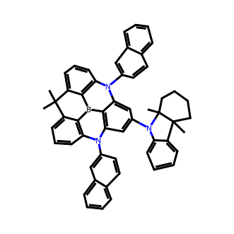 CC1(C)c2cccc3c2B2c4c(cc(N5c6ccccc6C6(C)CCCCC56C)cc4N(c4ccc5ccccc5c4)c4cccc1c42)N3c1ccc2ccccc2c1